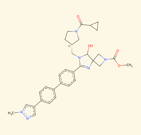 COC(=O)N1CC2(C1)N=C(c1ccc(-c3ccc(-c4cnn(C)c4)cc3)cc1)N(C[C@@H]1CCN(C(=O)C3CC3)C1)C2O